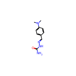 CN(C)c1ccc(/C=N/NC(N)=O)cc1